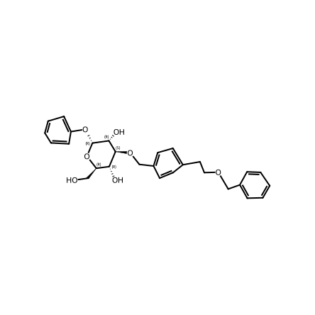 OC[C@H]1O[C@H](Oc2ccccc2)[C@H](O)[C@@H](OCc2ccc(CCOCc3ccccc3)cc2)[C@@H]1O